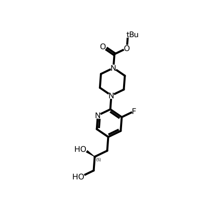 CC(C)(C)OC(=O)N1CCN(c2ncc(C[C@H](O)CO)cc2F)CC1